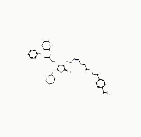 NC(=O)c1ccc(C(=O)COC(=O)CC/C=C\CC[C@H]2C(=O)C[C@H](OC3CCCCO3)[C@@H]2OCC(COc2ccccc2)OC2CCCCO2)cc1